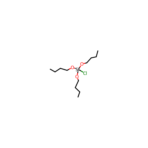 CCCCO[Si](Cl)(OCCCC)OCCCC